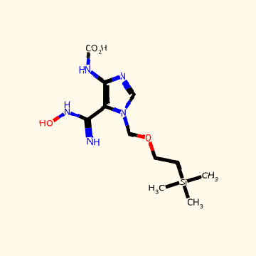 C[Si](C)(C)CCOCn1cnc(NC(=O)O)c1C(=N)NO